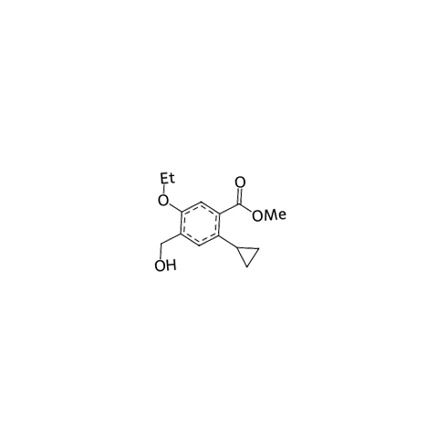 CCOc1cc(C(=O)OC)c(C2CC2)cc1CO